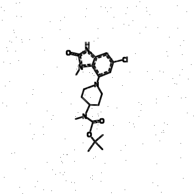 CN(C(=O)OC(C)(C)C)C1CCN(c2cc(Cl)cc3[nH]c(=O)n(C)c23)CC1